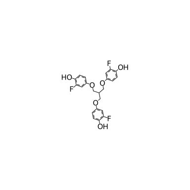 Oc1ccc(OCC(COc2ccc(O)c(F)c2)COc2ccc(O)c(F)c2)cc1F